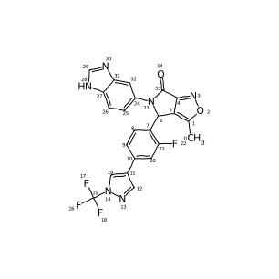 Cc1onc2c1C(c1ccc(-c3cnn(C(F)(F)F)c3)cc1F)N(c1ccc3[nH]cnc3c1)C2=O